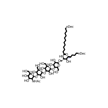 CCCCCCCCCCCCC/C=C/[C@@H](O)[C@H](CO[C@@H]1OC(CO)[C@@H](O[C@@H]2OC(CO)[C@H](O)[C@H](O[C@H]3OC(CO)[C@H](O)[C@H](O[C@@H]4OC(CO)[C@H](O)[C@H](O)C4NC(C)=O)C3O)C2O)[C@H](O)C1O)NC(=O)CCCCCCCCCCCCCCCCCCCCC